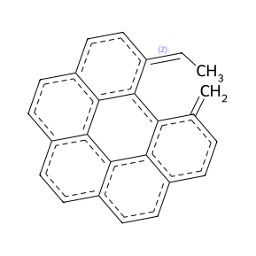 C=c1ccc2ccc3ccc4ccc5cc/c(=C/C)c6c1c2c3c4c56